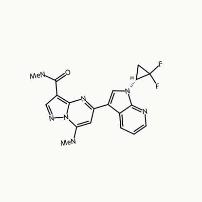 CNC(=O)c1cnn2c(NC)cc(-c3cn([C@@H]4CC4(F)F)c4ncccc34)nc12